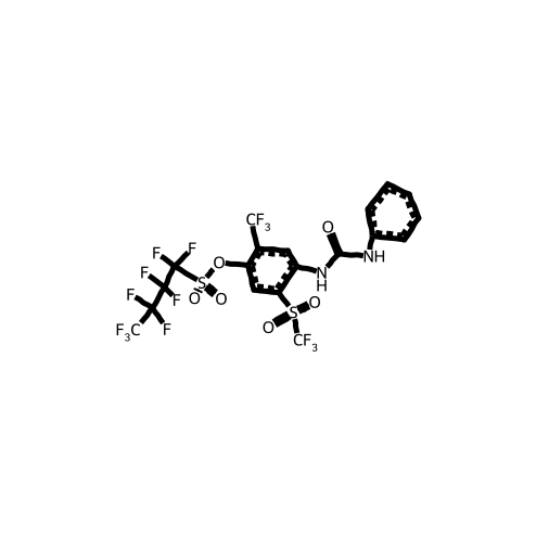 O=C(Nc1ccccc1)Nc1cc(C(F)(F)F)c(OS(=O)(=O)C(F)(F)C(F)(F)C(F)(F)C(F)(F)F)cc1S(=O)(=O)C(F)(F)F